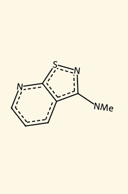 CNc1nsc2ncccc12